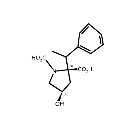 CC(c1ccccc1)[C@]1(C(=O)O)C[C@@H](O)CN1C(=O)O